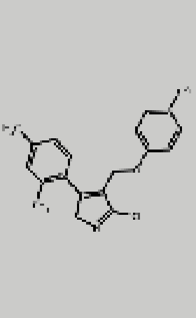 CCCc1ccc(OCc2c(Cl)nsc2-c2ccc(C)cc2C)cc1